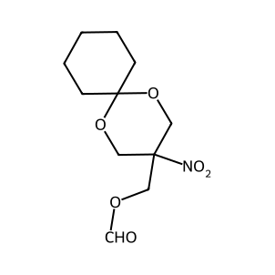 O=COCC1([N+](=O)[O-])COC2(CCCCC2)OC1